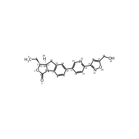 CC[C@@H]1OC(=O)N2c3ccc(-c4ccc(-c5cc(CO)on5)nc4)cc3C[C@H]12